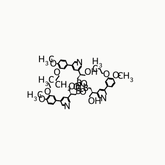 CCCOc1cc(-c2cncc([C@@H](CO)CB3OB(C[C@H](CO)c4cncc(-c5ccc(OC)c(OCCC)c5)c4)OB(C[C@H](CO)c4cncc(-c5ccc(OC)c(OCCC)c5)c4)O3)c2)ccc1OC